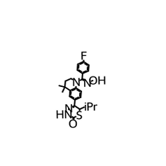 CC(C)C1SC(=O)NN=C1c1ccc2c(c1)C(C)(C)CCN2C(=NO)c1ccc(F)cc1